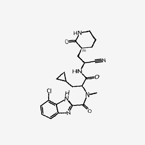 CN(C(=O)c1nc2cccc(Cl)c2[nH]1)C(CC1CC1)C(=O)NC(C#N)C[C@@H]1CCCNC1=O